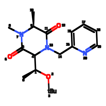 C[C@H](OC(C)(C)C)C1C(=O)N(C)[C@@H](C)C(=O)N1Cc1ccccn1